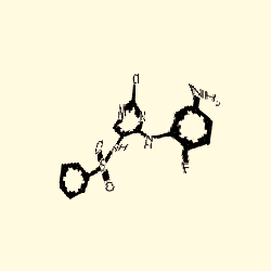 Nc1ccc(F)c(Nc2nc(Cl)ncc2NS(=O)(=O)c2ccccc2)c1